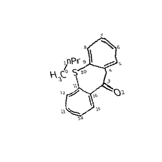 CCCC.O=c1c2ccccc2sc2ccccc12